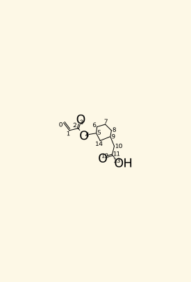 C=CC(=O)OC1CCCC(CC(=O)O)C1